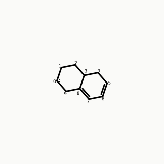 [C]1CCC2CC=CC=C2C1